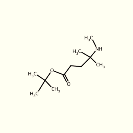 CNC(C)(C)CCC(=O)OC(C)(C)C